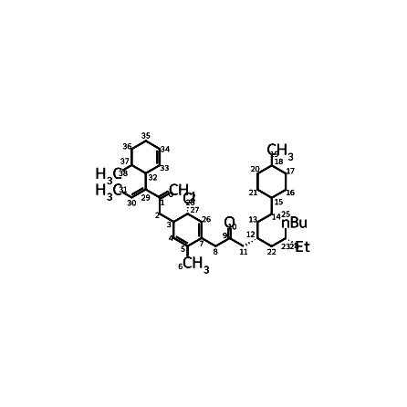 C=C(CC1C=C(C)C(CC(=O)C[C@H](CCC2CCC(C)CC2)C[C@@H](CC)CCCC)=C[C@H]1Cl)/C(=C/C)C1C=CCCC1C